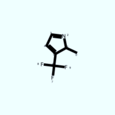 CC1N=CC=C1C(F)(F)F